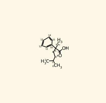 CC(C)CCC(C)(C(=O)O)c1ccccc1